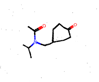 CC(=O)N(CC1CCC(=O)CC1)C(C)C